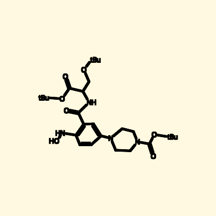 CC(C)(C)OCC(NC(=O)c1cc(N2CCN(C(=O)OC(C)(C)C)CC2)ccc1NO)C(=O)OC(C)(C)C